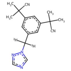 [2H]C([2H])(c1cc(C(C)(C)C#N)cc(C(C)(C)C#N)c1)n1cncn1